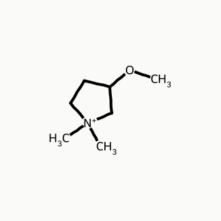 COC1CC[N+](C)(C)C1